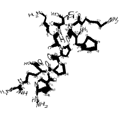 C[C@@H](O)[C@@H](C(=O)N[C@@H](CCCCN)C(=O)N1CCC[C@H]1C(=O)N1CCC[C@H]1C(=O)N(C(=O)c1ccc(NN)nc1)[C@@H](CCCNC(=N)N)C(=O)O)N(C(=O)CCCCCN)C(=O)[C@@H](N)Cc1ccccc1